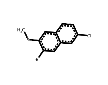 [B]c1cc2cc(Cl)ccc2cc1SC